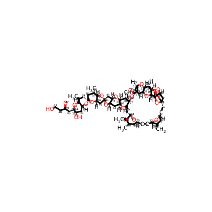 C=C1C[C@@H]2CC[C@@]34C[C@H]5O[C@H]6[C@@H](O3)[C@H]3O[C@H](CC[C@@H]3O[C@H]6[C@H]5O4)CC(=O)O[C@@H]3[C@@H](C)[C@@H]4O[C@@H]5C[C@]6(C[C@@H]7O[C@]8(C[C@H](C)[C@@H]9O[C@H](CC(=O)CCO)[C@H](O)C[C@@H]9O8)C[C@H](C)[C@@H]7O6)O[C@@H]5C[C@@H]4O[C@H]3C[C@H]3O[C@@H](CC[C@@H]1O2)C[C@@H](C)C3=C